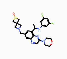 CC(Nc1cc(F)cc(F)c1)c1cc(CN2CC3(C2)C[S+]([O-])C3)cc2ncc(N3CCOCC3)nc12